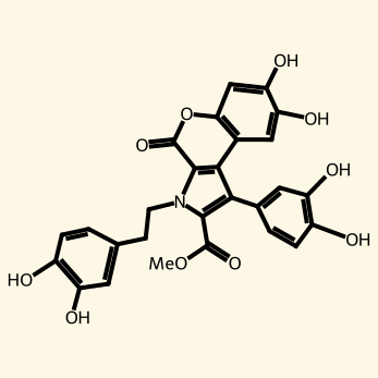 COC(=O)c1c(-c2ccc(O)c(O)c2)c2c3cc(O)c(O)cc3oc(=O)c2n1CCc1ccc(O)c(O)c1